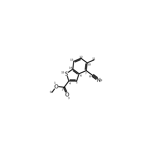 COC(=O)c1cc2c(C#N)c(C)ccc2s1